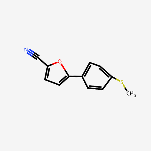 CSc1ccc(-c2ccc(C#N)o2)cc1